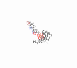 CC(C)(C)OP(=O)(OCC1CC(c2ccc(Br)cn2)=NO1)OC(C)(C)C